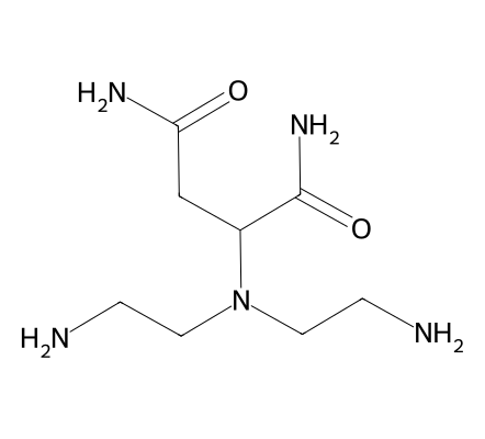 NCCN(CCN)C(CC(N)=O)C(N)=O